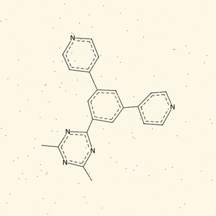 Cc1nc(C)nc(-c2cc(-c3ccncc3)cc(-c3ccncc3)c2)n1